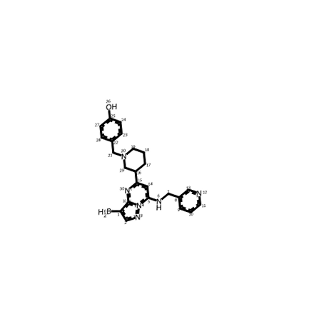 Bc1cnn2c(NCc3cccnc3)cc(C3CCCN(Cc4ccc(O)cc4)C3)nc12